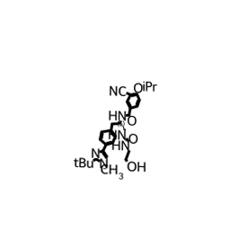 CC(C)Oc1ccc(C(=O)N[C@H](CNC(=O)NCCO)Cc2ccc(-c3cn(C)c(C(C)(C)C)n3)cc2)cc1C#N